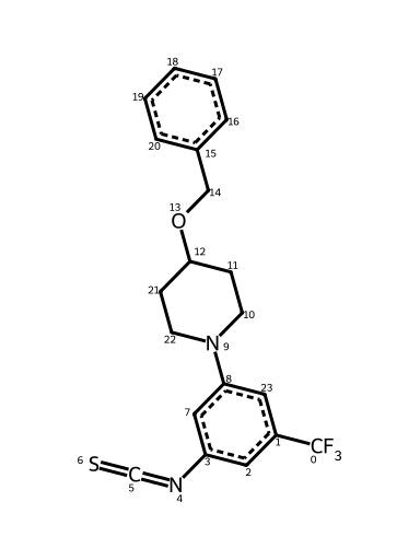 FC(F)(F)c1cc(N=C=S)cc(N2CCC(OCc3ccccc3)CC2)c1